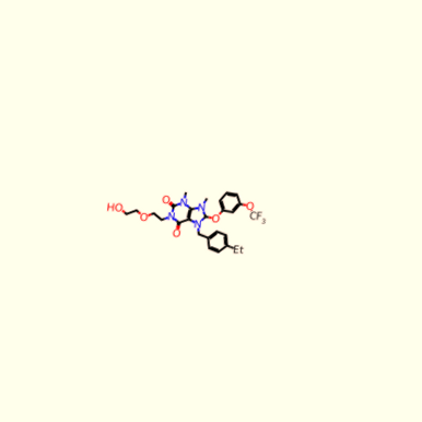 CCc1ccc(CN2c3c(n(C)c(=O)n(CCOCCO)c3=O)N(C)C2Oc2cccc(OC(F)(F)F)c2)cc1